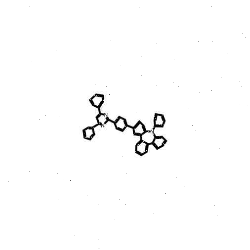 c1ccc(-c2cc(-c3ccccc3)nc(-c3ccc(-c4ccc5c(c4)-c4ccccc4-c4ccccc4N5c4ccccc4)cc3)n2)cc1